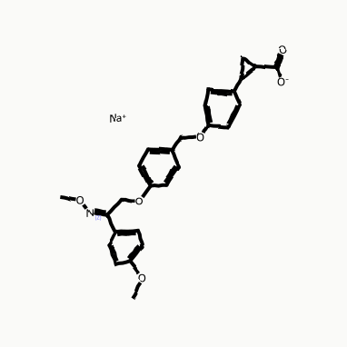 CO/N=C(\COc1ccc(COc2ccc(C3CC3C(=O)[O-])cc2)cc1)c1ccc(OC)cc1.[Na+]